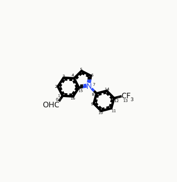 O=Cc1ccc2ccn(-c3cccc(C(F)(F)F)c3)c2c1